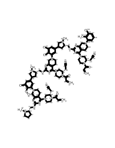 C=CC(=O)N1CCN(c2nc(OC[C@@H]3CC(c4cc(Cl)c(Cl)c(N5CCc6c(nc(OC[C@@H]7CC(c8cc(Cl)c(OC)c(N9CCc%10c(nc(OC[C@@H]%11CCCN%11C)nc%10N%10CCN(C(=O)C=C)[C@@H](CC#N)C%10)C9)c8)CN7C)nc6N6CCN(C(=O)C=C)[C@@H](CC#N)C6)C5)c4)CN3C)nc3c2CCN(c2cccc(Cl)c2C)C3)C[C@@H]1CC#N